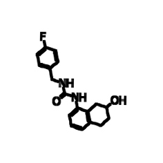 O=C(NCc1ccc(F)cc1)Nc1cccc2c1CC(O)CC2